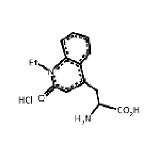 CCn1c(=O)cc(CC(N)C(=O)O)c2ccccc21.Cl